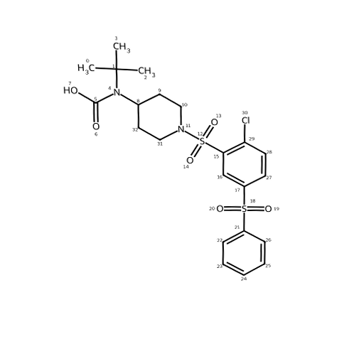 CC(C)(C)N(C(=O)O)C1CCN(S(=O)(=O)c2cc(S(=O)(=O)c3ccccc3)ccc2Cl)CC1